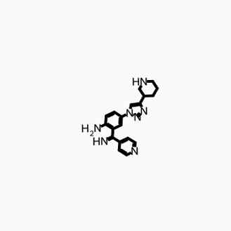 N=C(c1ccncc1)c1cc(-n2cc(C3CCCNC3)nn2)ccc1N